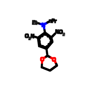 CCCN(CC)c1c([N+](=O)[O-])cc(C2OCCCO2)cc1[N+](=O)[O-]